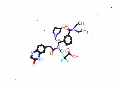 CCN(CC)C(=O)c1cccc([C@@H](CN2CCC(O)C2)N(C)C(=O)Cc2ccc3ncc(=O)[nH]c3c2)c1.O=C(O)C(F)(F)F